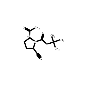 CC(=O)[C@@H]1CCC(C#N)N1C(=O)OC(C)(C)C